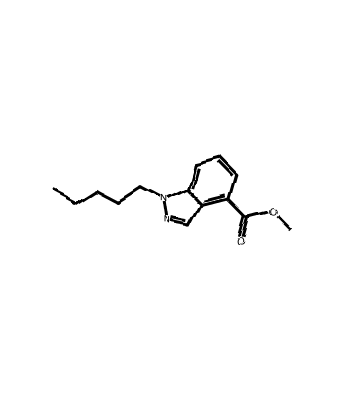 CCCCCn1ncc2c(C(=O)OC)cccc21